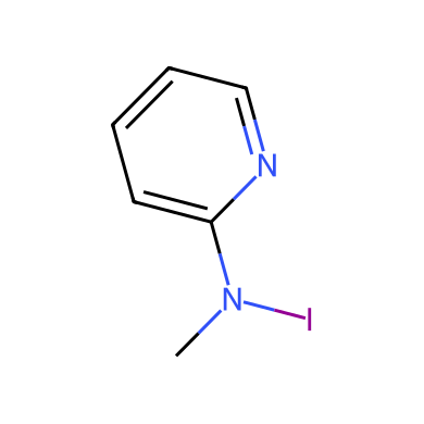 CN(I)c1ccccn1